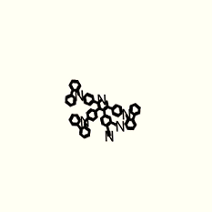 N#Cc1ccc(-c2c(-c3ccc(-n4c5ccccc5c5ccccc54)cc3)cnc(-c3ccc(-n4c5ccccc5c5ccccc54)cc3)c2-c2ccc(-n3c4ccccc4c4ccccc43)cc2)cc1C#N